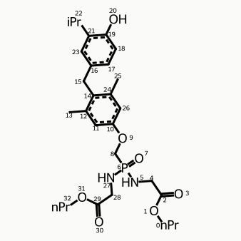 CCCOC(=O)CNP(=O)(COc1cc(C)c(Cc2ccc(O)c(C(C)C)c2)c(C)c1)NCC(=O)OCCC